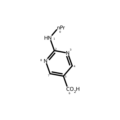 CCCNc1ncc(C(=O)O)cn1